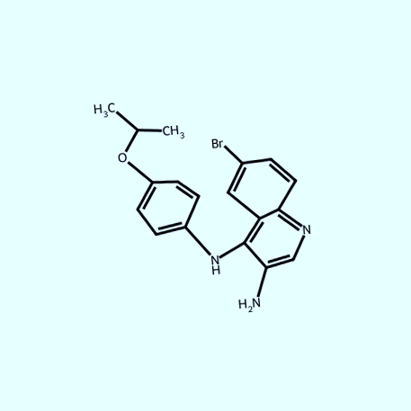 CC(C)Oc1ccc(Nc2c(N)cnc3ccc(Br)cc23)cc1